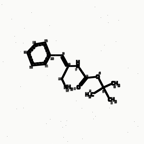 CC(C)(C)OC(=O)N/C(=C/c1ccccc1)CN